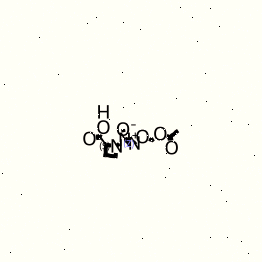 CC(=O)OCO/N=[N+](\[O-])N1CC[C@H]1C(=O)O